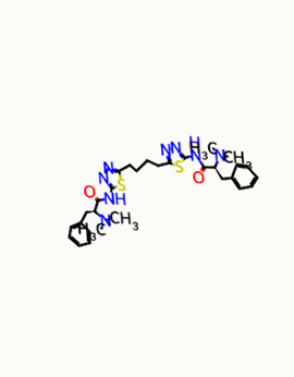 CN(C)[C@@H](Cc1ccccc1)C(=O)Nc1nnc(CCCCc2nnc(NC(=O)[C@H](Cc3ccccc3)N(C)C)s2)s1